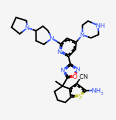 CC1(c2nc(-c3cc(N4CCNCC4)cc(N4CCC(N5CCCC5)CC4)n3)no2)CCCc2sc(N)c(C#N)c21